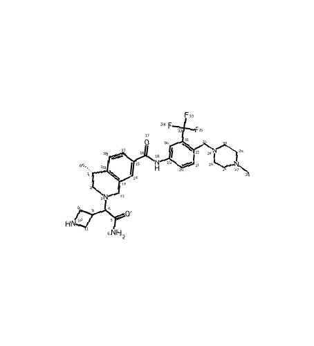 C[C@H]1CN(C(C(N)=O)C2CNC2)Cc2cc(C(=O)Nc3ccc(CN4CCN(C)CC4)c(C(F)(F)F)c3)ccc21